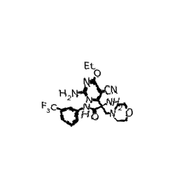 CCOc1nc(N)nc([C@](N)(CN2CCOCC2)C(=O)Nc2cccc(C(F)(F)F)c2)c1C#N